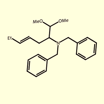 CCC=CCC(C(OC)OC)N(Cc1ccccc1)Cc1ccccc1